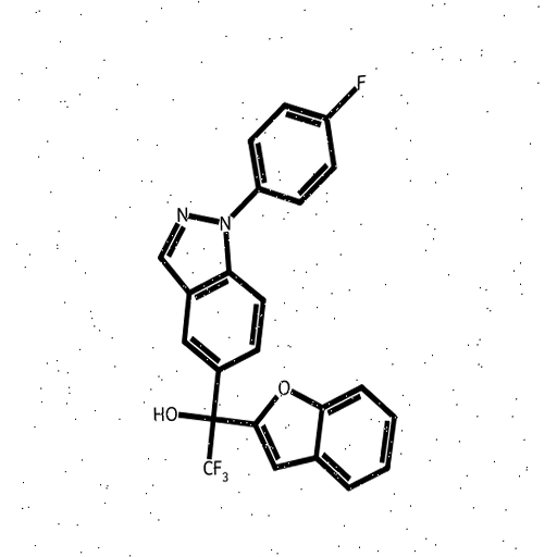 OC(c1ccc2c(cnn2-c2ccc(F)cc2)c1)(c1cc2ccccc2o1)C(F)(F)F